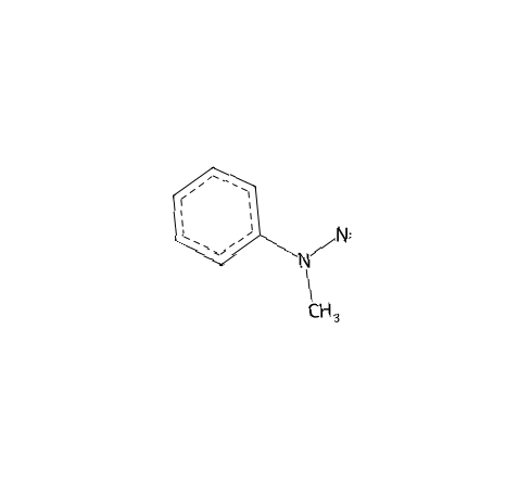 CN([N])c1ccccc1